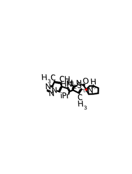 Cc1c(-c2[nH]c3sc([C@H]4CC5CC[C@H](C4)N5CC(N)=O)c(C)c3c2C(C)C)cn2ncnc2c1C